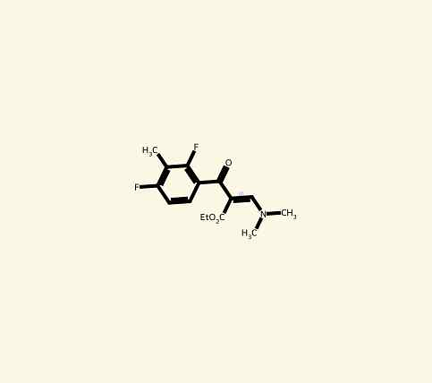 CCOC(=O)/C(=C\N(C)C)C(=O)c1ccc(F)c(C)c1F